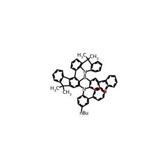 CCCCc1ccc(N2c3cc4oc5ccccc5c4cc3B3c4c2cc2c(c4-c4cccc5c4N3c3ccccc3C5(C)C)-c3ccccc3C2(C)C)c(-c2ccccc2)c1